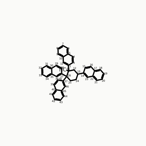 N#CC1(c2ccc3ccccc3c2)CC(c2ccc3ccccc3c2)CCC1(c1ccc2ccccc2c1)c1ccc2ccccc2c1